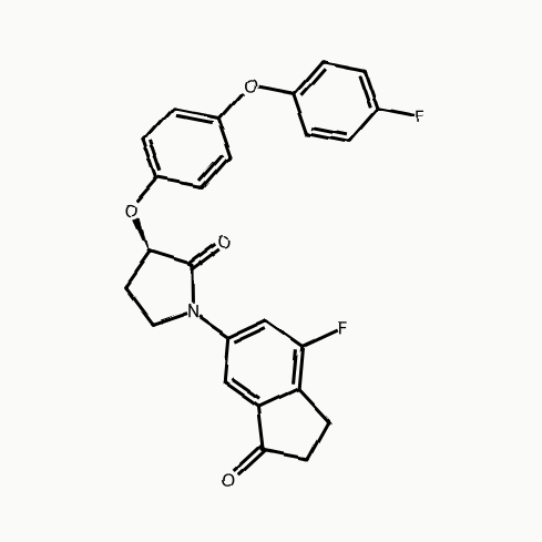 O=C1CCc2c(F)cc(N3CC[C@@H](Oc4ccc(Oc5ccc(F)cc5)cc4)C3=O)cc21